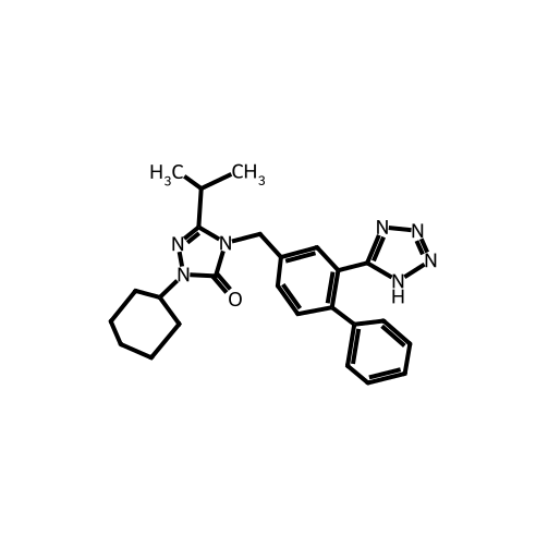 CC(C)c1nn(C2CCCCC2)c(=O)n1Cc1ccc(-c2ccccc2)c(-c2nnn[nH]2)c1